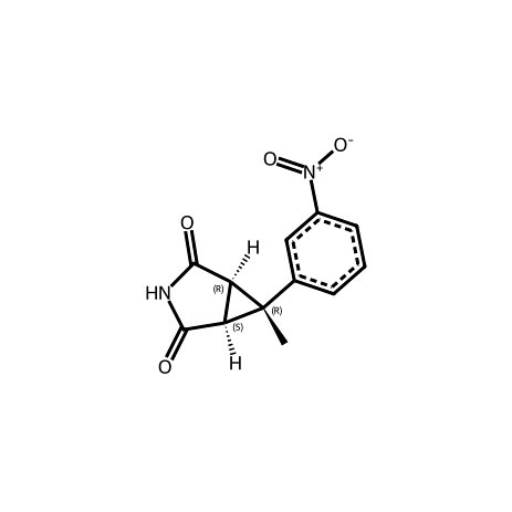 C[C@]1(c2cccc([N+](=O)[O-])c2)[C@@H]2C(=O)NC(=O)[C@@H]21